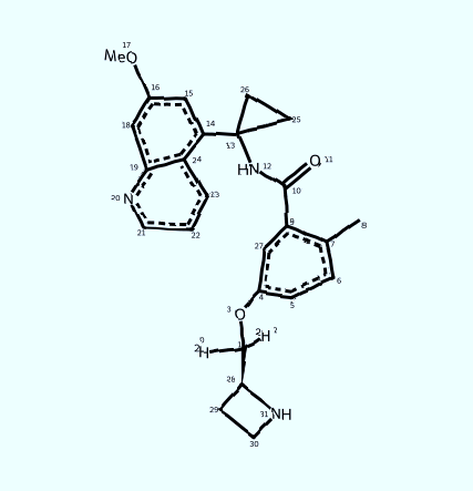 [2H]C([2H])(Oc1ccc(C)c(C(=O)NC2(c3cc(OC)cc4ncccc34)CC2)c1)[C@@H]1CCN1